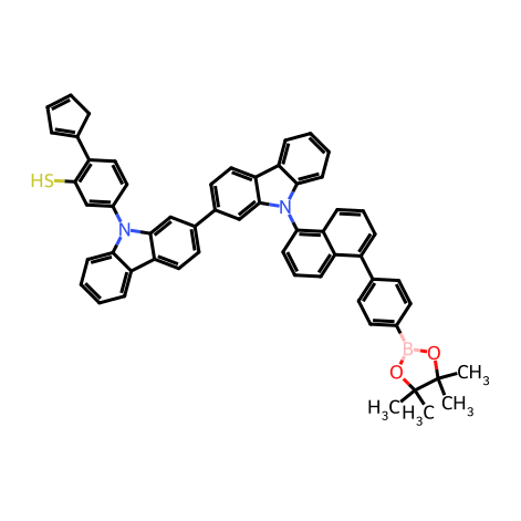 CC1(C)OB(c2ccc(-c3cccc4c(-n5c6ccccc6c6ccc(-c7ccc8c9ccccc9n(-c9ccc(C%10=CC=CC%10)c(S)c9)c8c7)cc65)cccc34)cc2)OC1(C)C